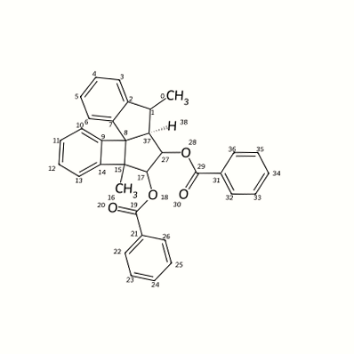 CC1c2ccccc2C23c4ccccc4C2(C)C(OC(=O)c2ccccc2)C(OC(=O)c2ccccc2)[C@H]13